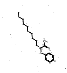 CCCCCCCCCC[C@H](Oc1ccccc1)C(=O)O